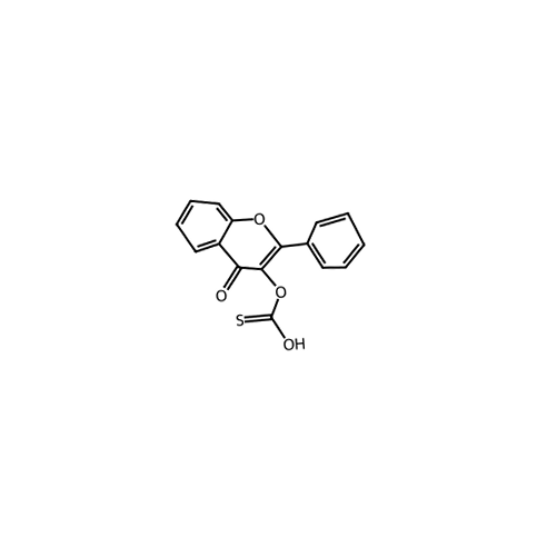 O=c1c(OC(O)=S)c(-c2ccccc2)oc2ccccc12